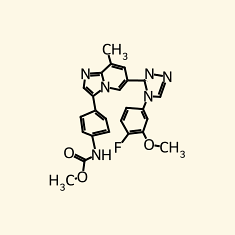 COC(=O)Nc1ccc(-c2cnc3c(C)cc(-c4nncn4-c4ccc(F)c(OC)c4)cn23)cc1